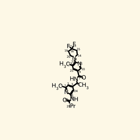 Cc1cc(C(C)NC(=O)c2cnc(N3CCC(F)(F)CC3)c(C)c2)cc(NC(=O)C(C)C)n1